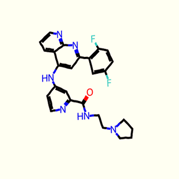 O=C(NCCN1CCCC1)c1cc(Nc2cc(-c3cc(F)ccc3F)nc3ncccc23)ccn1